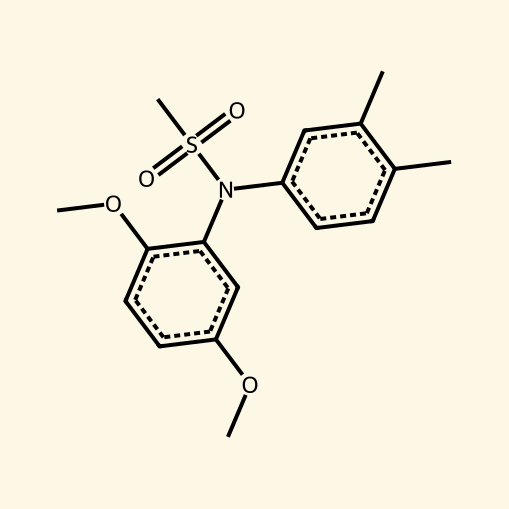 COc1ccc(OC)c(N(c2ccc(C)c(C)c2)S(C)(=O)=O)c1